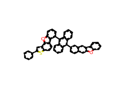 c1ccc(-c2cc3c(ccc4c3oc3cccc(-c5c6ccccc6c(-c6ccc7cc8oc9ccccc9c8cc7c6)c6ccccc56)c34)s2)cc1